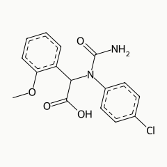 COc1ccccc1C(C(=O)O)N(C(N)=O)c1ccc(Cl)cc1